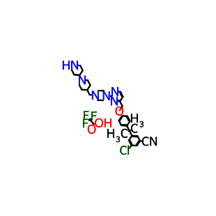 CC(C)(c1ccc(OCc2ccnc(N3CCN(CC4CCN(C5CCNCC5)CC4)CC3)n2)cc1)c1cc(Cl)cc(C#N)c1.O=C(O)C(F)(F)F